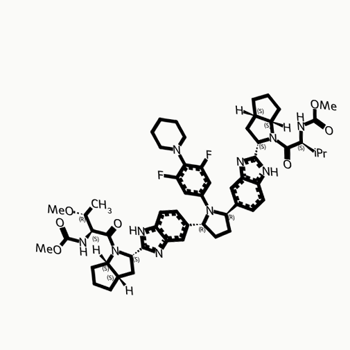 COC(=O)N[C@H](C(=O)N1[C@H](c2nc3cc([C@H]4CC[C@H](c5ccc6[nH]c([C@@H]7C[C@@H]8CCC[C@@H]8N7C(=O)[C@@H](NC(=O)OC)[C@@H](C)OC)nc6c5)N4c4cc(F)c(N5CCCCC5)c(F)c4)ccc3[nH]2)C[C@@H]2CCC[C@@H]21)C(C)C